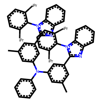 Cc1cc(-c2nc3ccccc3n2-c2c(C(C)C)cccc2C(C)C)cc(N(c2ccccc2)c2cc(C)cc(-c3nc4ccccc4n3-c3c(C(C)C)cccc3C(C)C)c2)c1